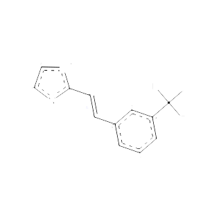 FC(F)(F)c1cccc(/C=C/c2nccs2)c1